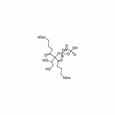 CCCCCCCCCCCCCC(=O)C(OP(=O)(O)OP(=O)(O)O)(C(=O)CCCCCCCCCCCCC)C(O)CO